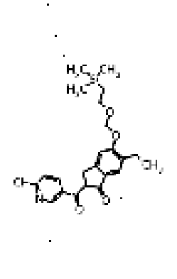 CCc1cc2c(cc1OCOCC[Si](C)(C)C)CC(C(=O)c1ccc(Cl)nc1)C2=O